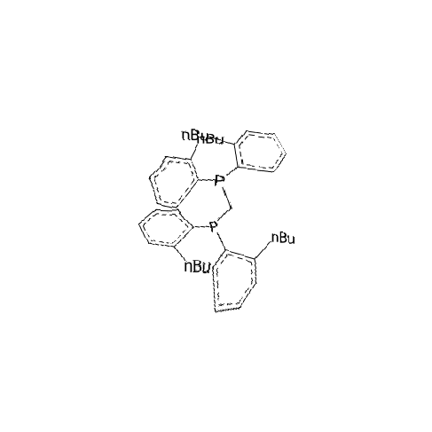 CCCCc1ccccc1P(CP(c1ccccc1CCCC)c1ccccc1CCCC)c1ccccc1CCCC